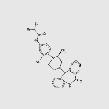 CCC(CC)C(=O)Nc1ccc(N2CCN(C3c4ccccc4NC(=O)c4ccccc43)C[C@@H]2C)c(C#N)c1